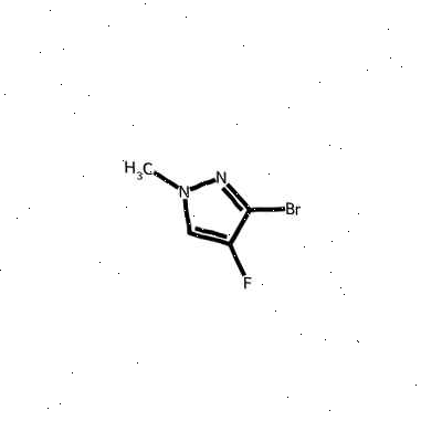 Cn1cc(F)c(Br)n1